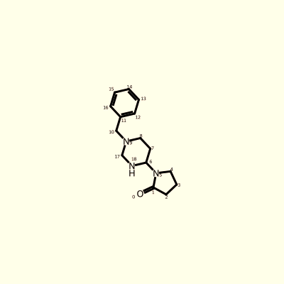 O=C1CCCN1C1CCN(Cc2ccccc2)CN1